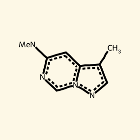 CNc1cc2c(C)cnn2cn1